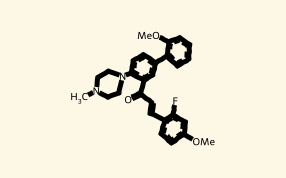 COc1ccc(/C=C/C(=O)c2cc(-c3ccccc3OC)ccc2N2CCN(C)CC2)c(F)c1